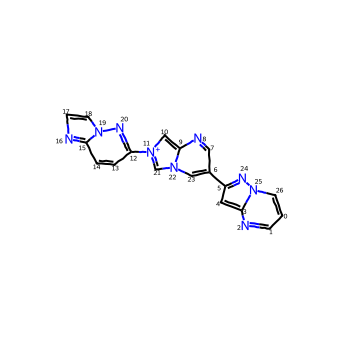 c1cnc2cc(-c3cnc4c[n+](-c5ccc6nccn6n5)cn4c3)nn2c1